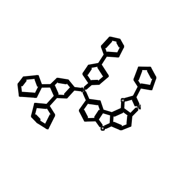 c1ccc(-c2ccc(N(c3ccc(-c4ccccc4)c(-c4ccccc4)c3)c3ccc4oc5ccc6nc(-c7ccccc7)oc6c5c4c3)cc2)cc1